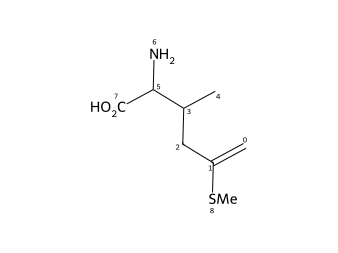 C=C(CC(C)C(N)C(=O)O)SC